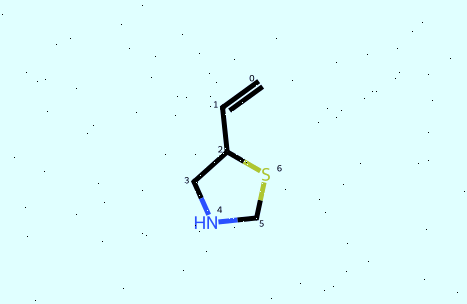 C=CC1CNCS1